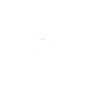 c1ccc(-c2cc(-c3ccccc3)cc(-c3ccc(N(c4ccccc4-c4ccccc4-c4ccccc4-c4ccccc4)c4cccc5c4-c4ccccc4C54c5ccccc5Oc5ccccc54)cc3)c2)cc1